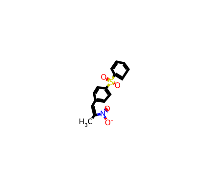 C/C(=C/c1ccc(S(=O)(=O)c2ccccc2)cc1)[N+](=O)[O-]